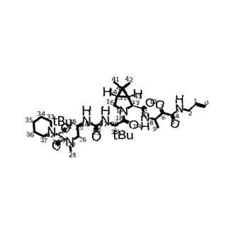 C=CCNC(=O)C(=O)C(C)NC(=O)[C@@H]1[C@@H]2[C@H](CN1C(=O)[C@@H](NC(=O)N[C@H](CN(C)S(=O)(=O)N1CCCCC1)C(C)(C)C)C(C)(C)C)C2(C)C